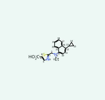 CCN(Cc1ncc(C(=O)O)s1)c1ccc(C2CC2)c2ccccc12